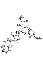 COc1ccc(C[C@H](NC(=O)OC(C)(C)C)C(=O)Nc2ncc(-c3ccc4cnccc4c3)n2C)cc1